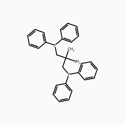 CC(N)(CP(c1ccccc1)c1ccccc1)CP(c1ccccc1)c1ccccc1